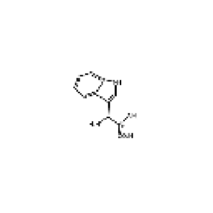 C[C@@H](C(=O)O)C(N)c1c[nH]c2ccccc12